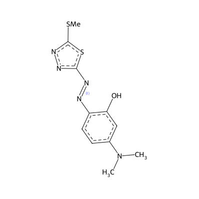 CSc1nnc(/N=N/c2ccc(N(C)C)cc2O)s1